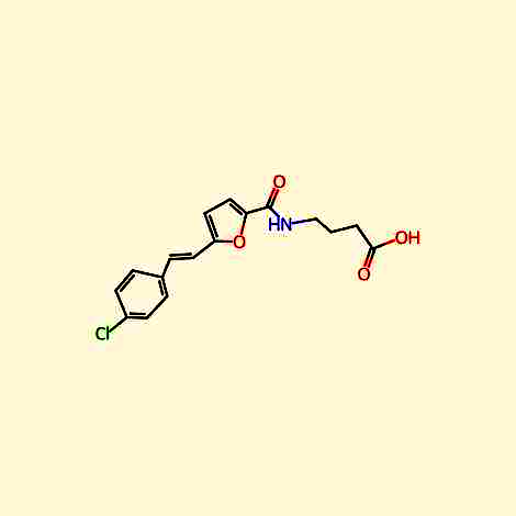 O=C(O)CCCNC(=O)c1ccc(C=Cc2ccc(Cl)cc2)o1